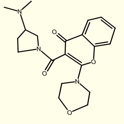 CN(C)C1CCN(C(=O)c2c(N3CCOCC3)oc3ccccc3c2=O)C1